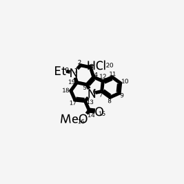 CCN1CCc2c3n(c4ccccc24)C(C(=O)OC)=CCC31.Cl